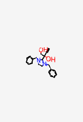 C#C[C@@](O)(CO)C1N(Cc2ccccc2)CCN1Cc1ccccc1